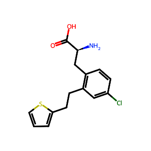 N[C@@H](Cc1ccc(Cl)cc1CCc1cccs1)C(=O)O